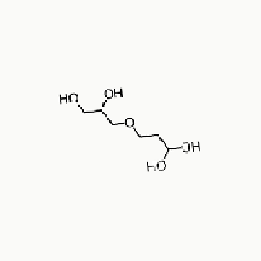 OCC(O)COCCC(O)O